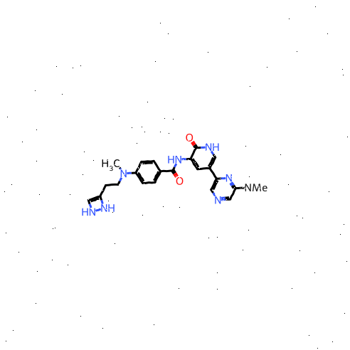 CNc1cncc(-c2c[nH]c(=O)c(NC(=O)c3ccc(N(C)CCc4c[nH][nH]4)cc3)c2)n1